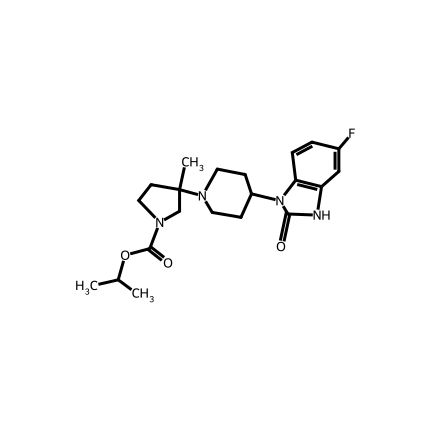 CC(C)OC(=O)N1CCC(C)(N2CCC(n3c(=O)[nH]c4cc(F)ccc43)CC2)C1